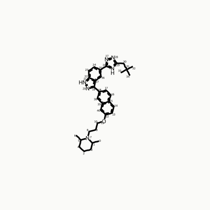 CC1CCCC(C)N1CCCOc1ccc2ccc(-c3n[nH]c4ccc(-c5nnc(CC(C)(C)C)[nH]5)cc34)cc2c1